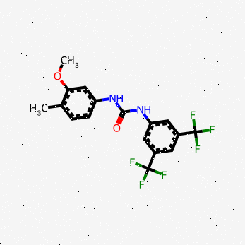 COc1cc(NC(=O)Nc2cc(C(F)(F)F)cc(C(F)(F)F)c2)ccc1C